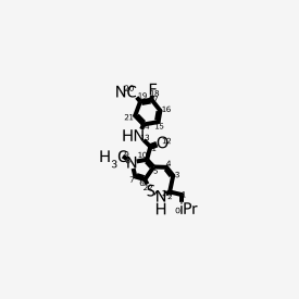 CC(C)CC1C=Cc2c(cn(C)c2C(=O)Nc2ccc(F)c(C#N)c2)SN1